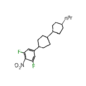 CCCC1CCC(C2CCC(c3cc(F)c([N+](=O)[O-])c(F)c3)CC2)CC1